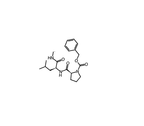 [CH2]NC(=O)[C@H](CC(C)C)NC(=O)[C@@H]1CCCN1C(=O)OCc1ccccc1